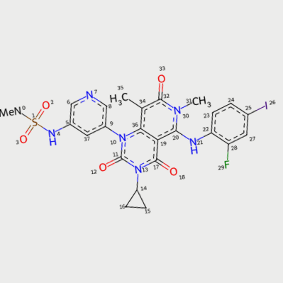 CNS(=O)(=O)Nc1cncc(-n2c(=O)n(C3CC3)c(=O)c3c(Nc4ccc(I)cc4F)n(C)c(=O)c(C)c32)c1